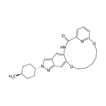 C[C@H]1CC[C@H](n2cc3cc4c(cc3n2)OCCCCCOc2cccc(n2)C(=O)N4)CC1